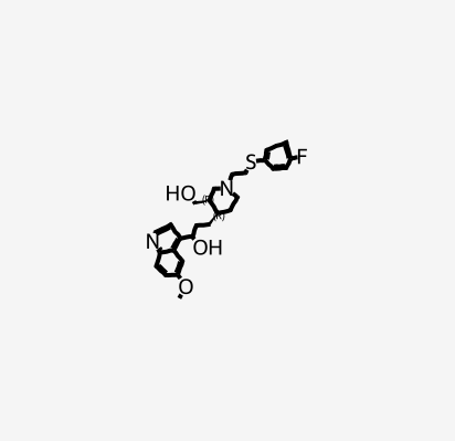 COc1ccc2nccc(C(O)CC[C@@H]3CCN(CCSc4ccc(F)cc4)C[C@@H]3CO)c2c1